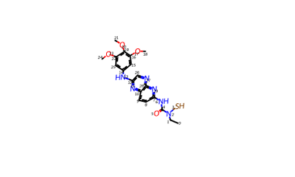 CCN(S)C(=O)Nc1ccc2nc(Nc3cc(OC)c(OC)c(OC)c3)cnc2n1